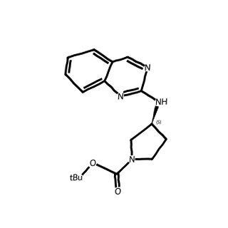 CC(C)(C)OC(=O)N1CC[C@H](Nc2ncc3ccccc3n2)C1